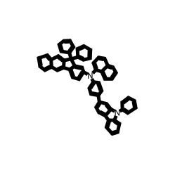 c1ccc(-n2c3ccccc3c3ccc(-c4ccc(N(c5ccc6c(c5)C(c5ccccc5)(c5ccccc5)c5cc7ccccc7cc5-6)c5cccc6ccccc56)cc4)cc32)cc1